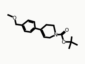 COCc1ccc(C2=CCN(C(=O)OC(C)(C)C)CC2)cc1